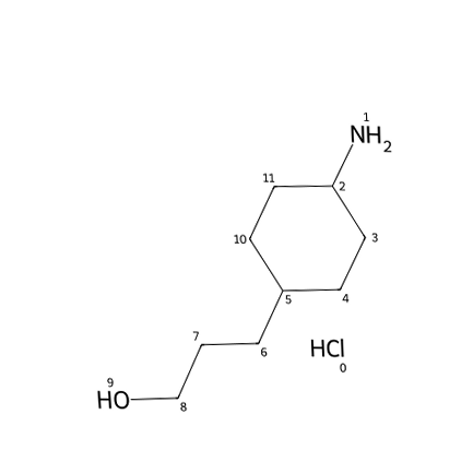 Cl.NC1CCC(CCCO)CC1